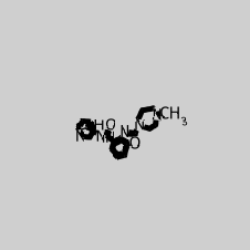 CN1CCCN(c2nc3c(C(=O)N[C@@H]4CN5CCC4CC5)cccc3o2)CC1